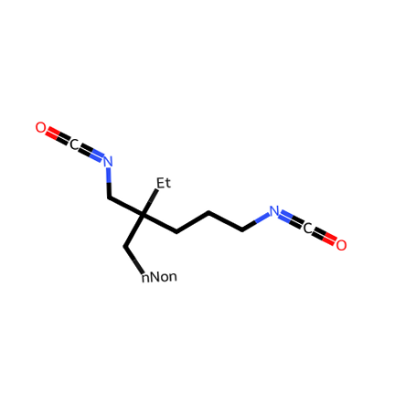 CCCCCCCCCCC(CC)(CCCN=C=O)CN=C=O